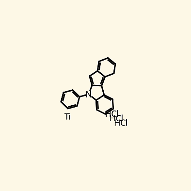 C1=CCC2=c3c(n(-c4ccccc4)c4ccccc34)=CC2=C1.Cl.Cl.Cl.[Ti]